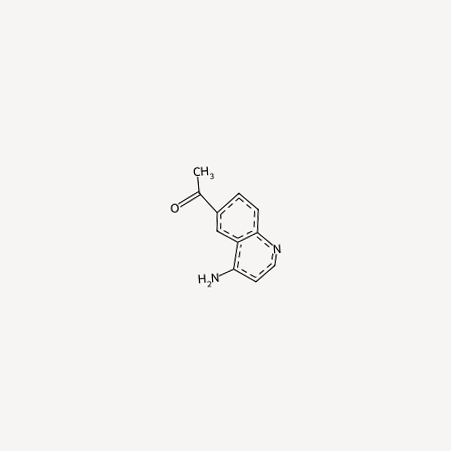 CC(=O)c1ccc2nccc(N)c2c1